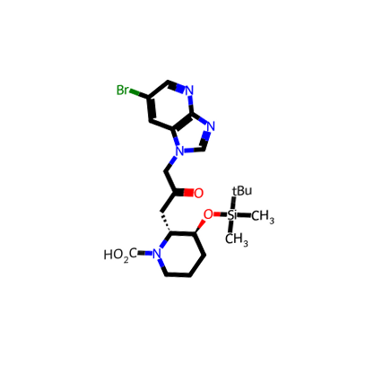 CC(C)(C)[Si](C)(C)O[C@H]1CCCN(C(=O)O)[C@@H]1CC(=O)Cn1cnc2ncc(Br)cc21